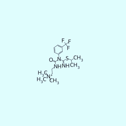 CC(C)SC(=N)N(C(=O)NCC[N+](C)(C)C)c1cccc(C(F)(F)F)c1